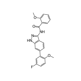 COc1ccccc1C(=O)Nc1n[nH]c2cc(-c3cc(F)ccc3OC)ccc12